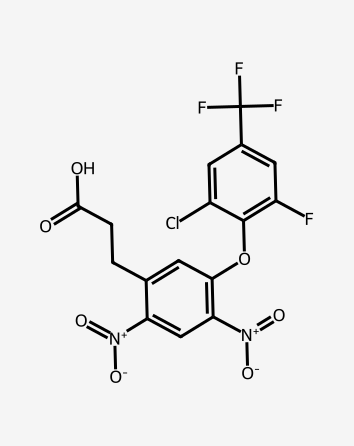 O=C(O)CCc1cc(Oc2c(F)cc(C(F)(F)F)cc2Cl)c([N+](=O)[O-])cc1[N+](=O)[O-]